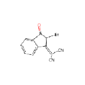 CCC1C(=O)c2ccccc2C1=C(C#N)C#N